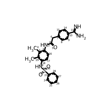 Cc1c(NC(=O)Cc2ccc(C(=N)N)cc2)ccc(NS(=O)(=O)c2ccccc2)c1C